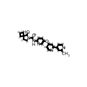 Cc1cc(-c2cc(Oc3ccc(NC(=O)N4CCC5(CCC5)C4O)nc3)ccn2)ccn1